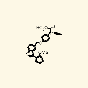 CC#C[C@H](c1ccc(OCc2ccc3scc(-c4ccccc4OC)c3c2)cc1)C(CC)C(=O)O